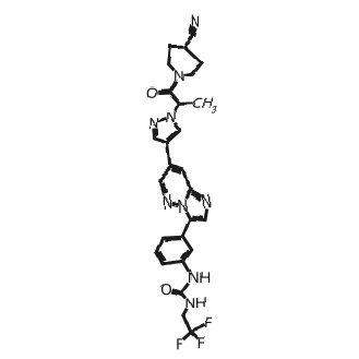 CC(C(=O)N1CCC(C#N)CC1)n1cc(-c2cnn3c(-c4cccc(NC(=O)NCC(F)(F)F)c4)cnc3c2)cn1